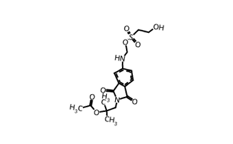 CC(=O)OC(C)(C)CN1C(=O)c2ccc(NCOS(=O)(=O)CCO)cc2C1=O